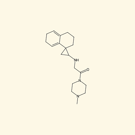 CN1CCN(C(=O)CNC2CC23CCCC2=CCCC=C23)CC1